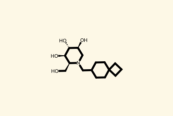 OC[C@H]1[C@@H](O)[C@H](O)[C@@H](O)CN1CC1CCC2(CCC2)CC1